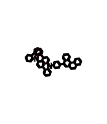 c1ccc(-c2ccc(N(c3ccc(-c4cc5ccc6ccccc6c5c5ccccc45)cc3)c3ccccc3-c3ccc(-n4c5ccccc5c5ccccc54)cc3)cc2)cc1